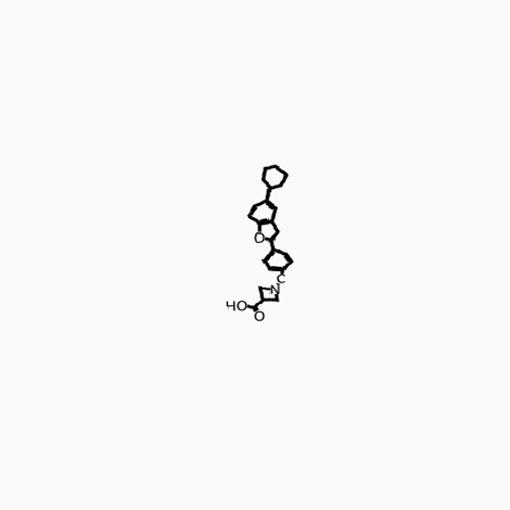 O=C(O)C1CN(Cc2ccc(C3Cc4cc(C5CCCCC5)ccc4O3)cc2)C1